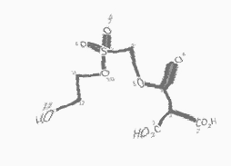 O=C(O)C(C(=O)O)C(=O)OCS(=O)(=O)OCCO